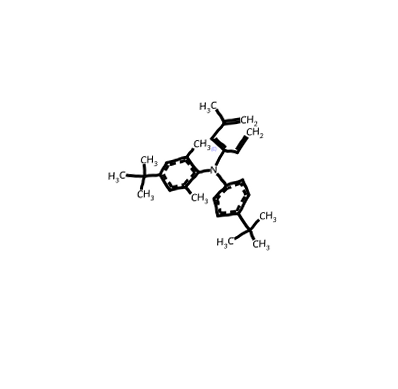 C=C/C(=C\C(=C)C)N(c1ccc(C(C)(C)C)cc1)c1c(C)cc(C(C)(C)C)cc1C